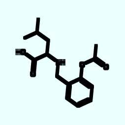 CC(=O)Oc1ccccc1CNC(CC(C)C)C(=O)O